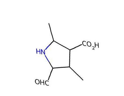 CC1NC(C=O)C(C)C1C(=O)O